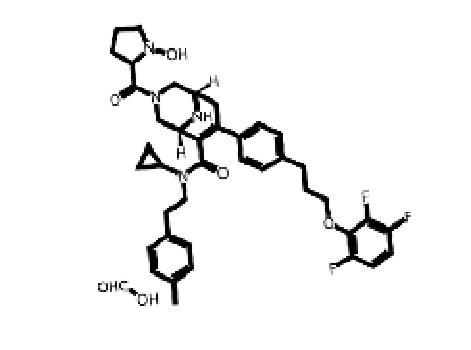 Cc1ccc(CCN(C(=O)C2=C(c3ccc(CCCOc4c(F)ccc(F)c4F)cc3)C[C@H]3CN(C(=O)C4CCCN4O)C[C@@H]2N3)C2CC2)cc1.O=CO